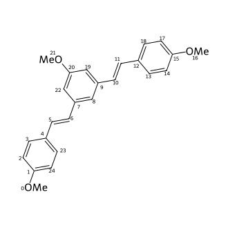 COc1ccc(/C=C/c2cc(/C=C/c3ccc(OC)cc3)cc(OC)c2)cc1